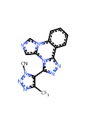 N#Cn1nnc(C(F)(F)F)c1-c1nnc2c3ccccc3n3cncc3n12